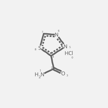 Cl.NC(=O)c1nncs1